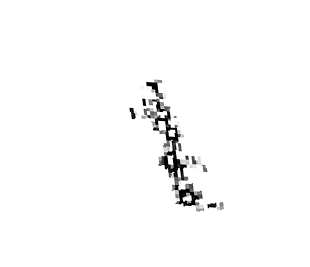 COc1ccc(Cn2nc(C)c3c(Oc4ccc(-c5cnc(NCC6CC6)n(C)c5=O)cc4F)ccnc32)cc1